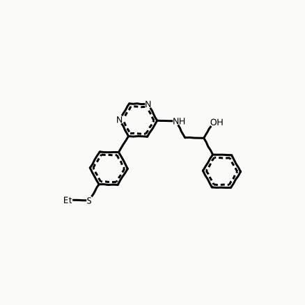 CCSc1ccc(-c2cc(NCC(O)c3ccccc3)ncn2)cc1